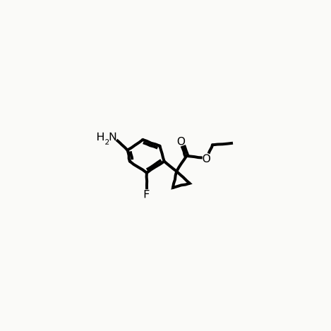 CCOC(=O)C1(c2ccc(N)cc2F)CC1